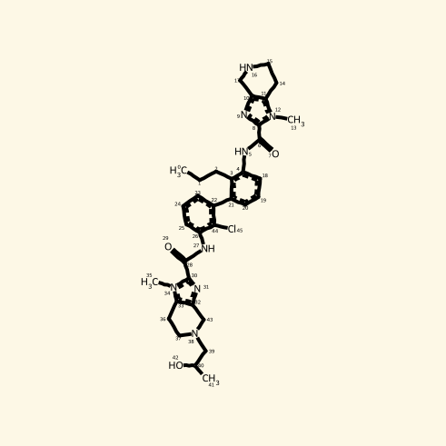 CCCc1c(NC(=O)c2nc3c(n2C)CCNC3)cccc1-c1cccc(NC(=O)c2nc3c(n2C)CCN(CC(C)O)C3)c1Cl